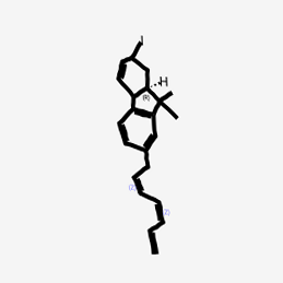 C=C/C=C\C=C/Cc1ccc2c(c1)C(C)(C)[C@@H]1CC(I)C=CC21